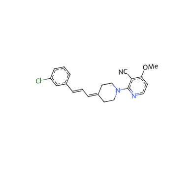 COc1ccnc(N2CCC(=CC=Cc3cccc(Cl)c3)CC2)c1C#N